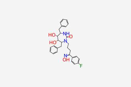 O=C1NC(Cc2ccccc2)C(O)C(O)C(Cc2ccccc2)N1CCCC(=NO)c1ccc(F)cc1